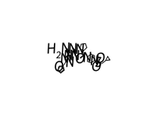 Nc1nc(N2CCC[C@H]2C(=O)N2CCN(S(=O)(=O)CC3CC3)CC2)nc2nc(-c3ccco3)nn12